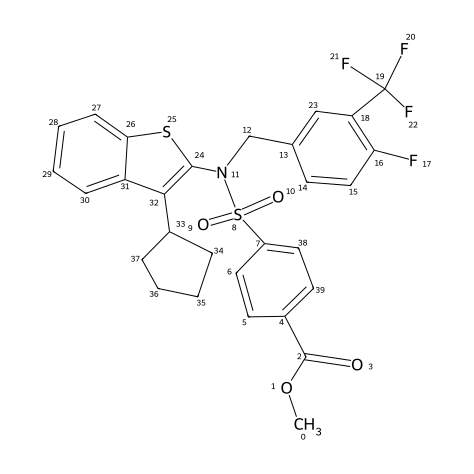 COC(=O)c1ccc(S(=O)(=O)N(Cc2ccc(F)c(C(F)(F)F)c2)c2sc3ccccc3c2C2CCCC2)cc1